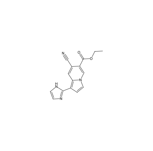 CCOC(=O)c1cn2ccc(-c3ncc[nH]3)c2cc1C#N